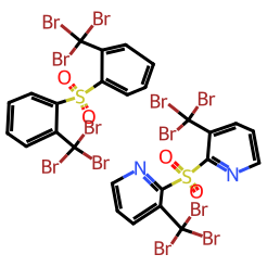 O=S(=O)(c1ccccc1C(Br)(Br)Br)c1ccccc1C(Br)(Br)Br.O=S(=O)(c1ncccc1C(Br)(Br)Br)c1ncccc1C(Br)(Br)Br